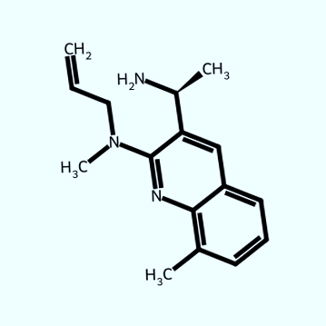 C=CCN(C)c1nc2c(C)cccc2cc1[C@H](C)N